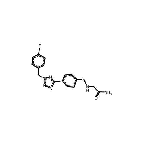 NC(=O)CNSc1ccc(-c2nnn(Cc3ccc(F)cc3)n2)cc1